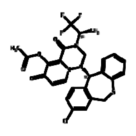 CC(=O)Oc1c2n(ccc1=O)N([C@@H]1c3ccc(Cl)cc3CSc3ccccc31)CN([C@H](C)C(F)(F)F)C2=O